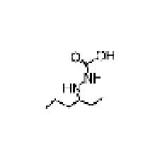 CCCC(CC)NNC(=O)O